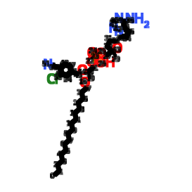 CCCCCCCCCCCCCCCCCCOC[C@H](COP(=O)(O)OC[C@]1(C)CC[C@H](c2ccc3c(N)ncnn23)O1)OCc1ccc(C#N)c(Cl)c1